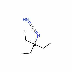 CC[Si](CC)(CC)N=C=N